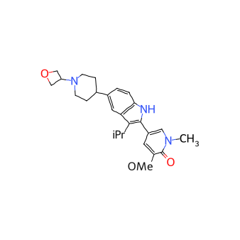 COc1cc(-c2[nH]c3ccc(C4CCN(C5COC5)CC4)cc3c2C(C)C)cn(C)c1=O